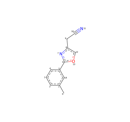 Cc1cccc(-c2nc(CC#N)co2)c1